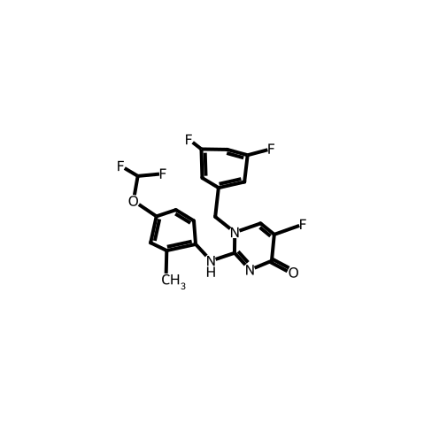 Cc1cc(OC(F)F)ccc1Nc1nc(=O)c(F)cn1Cc1cc(F)cc(F)c1